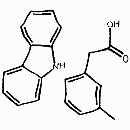 Cc1cccc(CC(=O)O)c1.c1ccc2c(c1)[nH]c1ccccc12